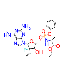 C=C[C@@]1(F)[C@H](O)[C@@H](CO[P@](=O)(N[C@@H](C)C(=O)OCC)Oc2ccccc2)O[C@H]1n1cnc2c(NC)nc(N)nc21